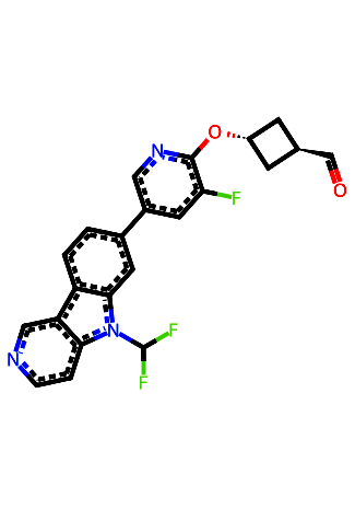 O=C[C@H]1C[C@H](Oc2ncc(-c3ccc4c5cnccc5n(C(F)F)c4c3)cc2F)C1